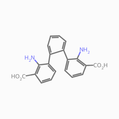 Nc1c(C(=O)O)cccc1-c1ccccc1-c1cccc(C(=O)O)c1N